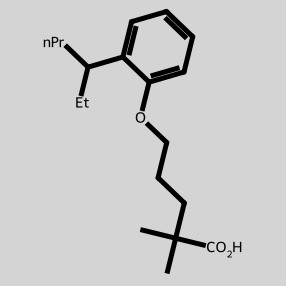 CCCC(CC)c1ccccc1OCCCC(C)(C)C(=O)O